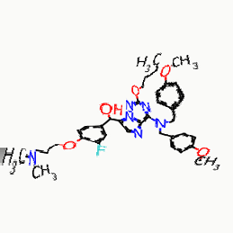 CCCCOc1nc(N(Cc2ccc(OC)cc2)Cc2ccc(OC)cc2)c2ncc(C(O)c3ccc(OCCCN(C)C)c(F)c3)n2n1